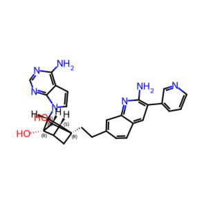 Nc1nc2cc(CC[C@@]34CC5[C@@H]3[C@@H](n3ccc6c(N)ncnc63)[C@@]5(O)[C@@H]4O)ccc2cc1-c1cccnc1